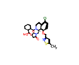 Cc1cc(COc2ccc(Cl)c3c2[C@@H](CN2CCCC2=O)N(C(=O)C2CCCCC2C(=O)O)CC3)ns1